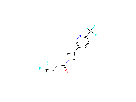 O=C(CCC(F)(F)F)N1CC(c2ccc(C(F)(F)F)nc2)C1